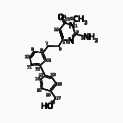 Cn1c(N)nc(CCc2cccc(-c3ccc(CO)cc3)c2)cc1=O